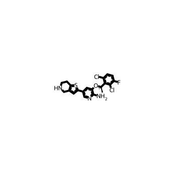 C[C@@H](Oc1cc(-c2cc3c(s2)CCNC3)cnc1N)c1c(Cl)ccc(F)c1Cl